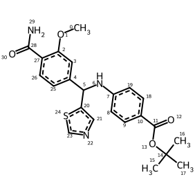 COc1cc(C(Nc2ccc(C(=O)OC(C)(C)C)cc2)c2cncs2)ccc1C(N)=O